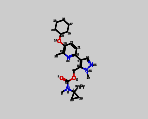 CCCC1(N(C)C(=O)OCc2c(-c3ccc(OC4CCCCC4)c(C)n3)cnn2C)CC1